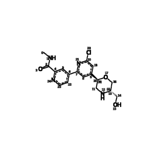 CNC(=O)c1cc(-c2cc([C@@H]3CN[C@@H](CO)CO3)cc(Cl)n2)ccn1